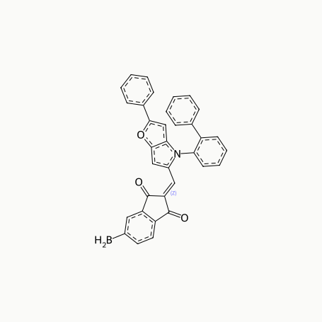 Bc1ccc2c(c1)C(=O)/C(=C\c1cc3oc(-c4ccccc4)cc3n1-c1ccccc1-c1ccccc1)C2=O